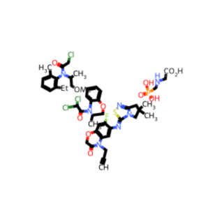 C#CCN1C(=O)COc2cc(F)c(/N=c3\snc4n3CC(C)(C)C4)cc21.CC1COc2ccccc2N1C(=O)C(Cl)Cl.CCc1cccc(C)c1N(C(=O)CCl)C(C)COC.O=C(O)CNCP(=O)(O)O